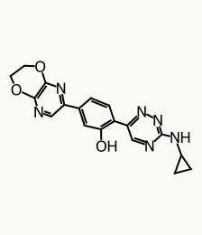 Oc1cc(-c2cnc3c(n2)OCCO3)ccc1-c1cnc(NC2CC2)nn1